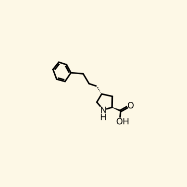 O=C(O)[C@@H]1C[C@@H](CCCc2ccccc2)CN1